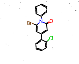 O=c1cc(-c2ccccc2Cl)cc(Br)n1-c1ccccc1